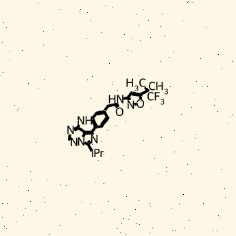 CC(C)c1nc(-c2ccc(CC(=O)Nc3cc(C(C)(C)C(F)(F)F)on3)cc2)c2c(N)ncnn12